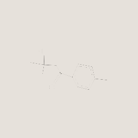 [2H]C(C)(C)CC(=O)c1ccc(C)cc1